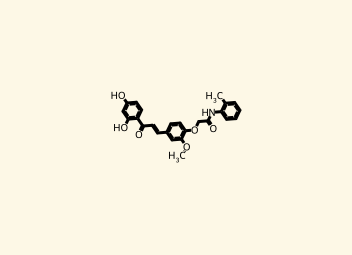 COc1cc(/C=C/C(=O)c2ccc(O)cc2O)ccc1OCC(=O)Nc1ccccc1C